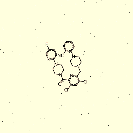 N#Cc1ccccc1N1CCN(Cc2nc(C(=O)N3CCN(c4ccc(F)cn4)CC3)c(Cl)cc2Cl)CC1